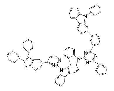 c1ccc(-c2nc(-c3cccc(-c4ccc5c6ccccc6n(-c6ccccc6)c5c4)c3)nc(-n3c4ccccc4c4c3ccc3c5ccccc5n(-c5nccc(-c6ccc7sc(-c8ccccc8)c(-c8ccccc8)c7c6)n5)c34)n2)cc1